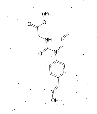 C=CCN(C(=O)NCC(=O)OCCC)c1ccc(C=NO)cc1